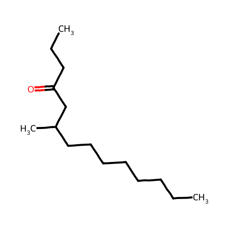 CCCCCCCCC(C)CC(=O)CCC